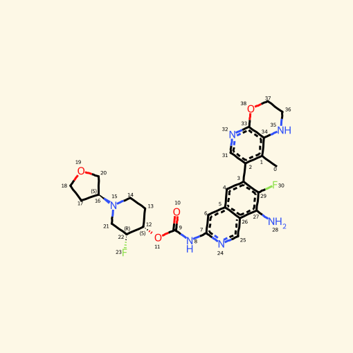 Cc1c(-c2cc3cc(NC(=O)O[C@H]4CCN([C@H]5CCOC5)C[C@H]4F)ncc3c(N)c2F)cnc2c1NCCO2